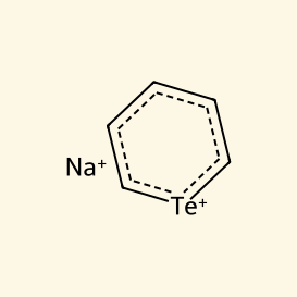 [Na+].c1cc[te+]cc1